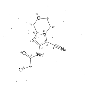 N#Cc1c(NC(=O)CCl)sc2c1CCOC2